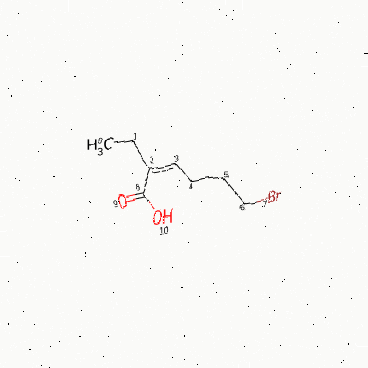 CCC(=CCCCBr)C(=O)O